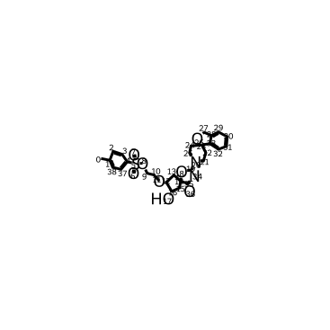 Cc1ccc(S(=O)(=O)OCCOC2CC3(CC2O)OC(N2CCC4(CC2)OCc2ccccc24)=NC3=O)cc1